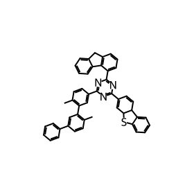 Cc1ccc(-c2ccccc2)cc1-c1cc(-c2nc(C3=CC4Sc5ccccc5C4C=C3)nc(-c3cccc4c3-c3ccccc3C4)n2)ccc1C